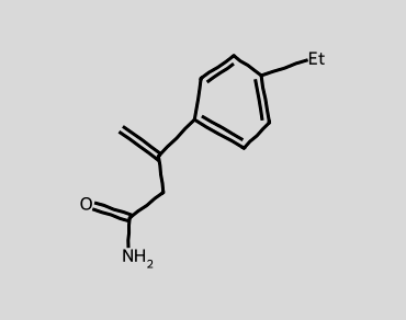 C=C(CC(N)=O)c1ccc(CC)cc1